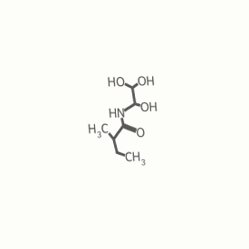 CCC(C)C(=O)NC(O)C(O)O